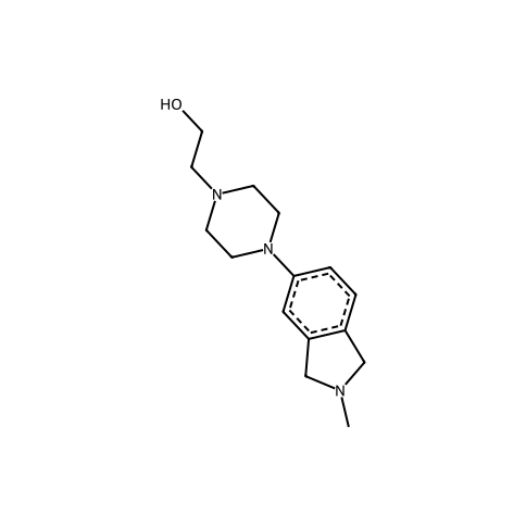 CN1Cc2ccc(N3CCN(CCO)CC3)cc2C1